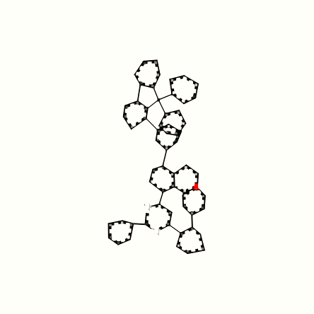 c1ccc(-c2nc(-c3ccccc3-c3ccccc3)cc(-c3ccc(-c4cccc(-c5cccc6c5C(c5ccccc5)(c5ccccc5)c5ccccc5-6)c4)c4ccccc34)n2)cc1